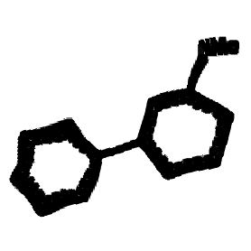 CNc1cccc(-c2ccccc2)c1